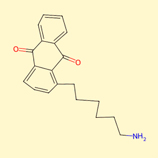 NCCCCCCc1cccc2c1C(=O)c1ccccc1C2=O